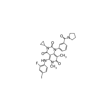 Cc1c(=O)n(C)c(Nc2ccc(I)cc2F)c2c(=O)n(C3CC3)c(=O)n(-c3cccc(C(=O)N4CCCC4)c3)c12